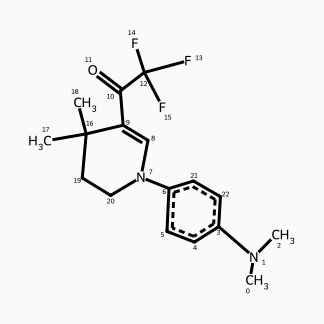 CN(C)c1ccc(N2C=C(C(=O)C(F)(F)F)C(C)(C)CC2)cc1